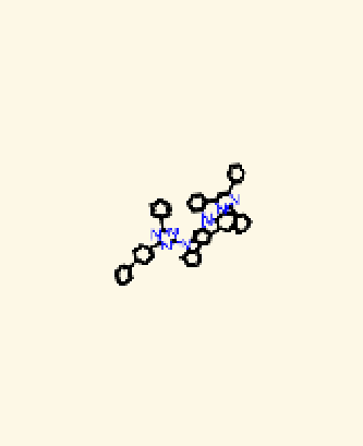 C1=CC2c3cc4c5ccccc5n(-c5nc(-c6ccccc6)nc(-c6ccc(-c7ccccc7)cc6)n5)c4cc3N(c3ccccc3-c3cc(-c4ccccc4)nc(-c4ccccc4)n3)C2C=C1